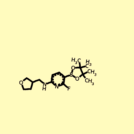 CC1(C)OB(c2ccc(NCC3CCOC3)nc2F)OC1(C)C